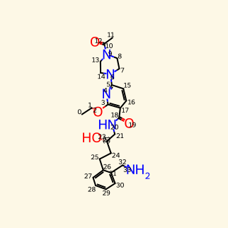 CCOc1nc(N2CCN(C(C)=O)CC2)ccc1C(=O)NC[C@@H](O)CCc1ccccc1CN